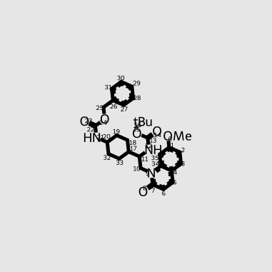 COc1ccc2ccc(=O)n(CC(NC(=O)OC(C)(C)C)C3CCC(NC(=O)OCc4ccccc4)CC3)c2c1